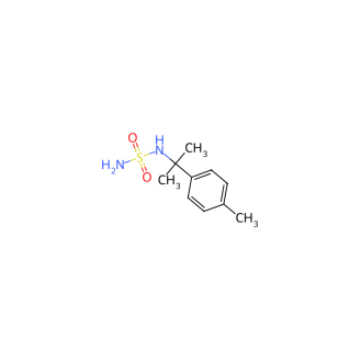 Cc1ccc(C(C)(C)NS(N)(=O)=O)cc1